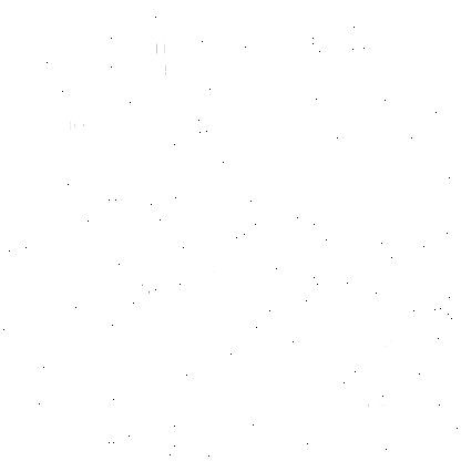 CC(C)c1ccc(CC(=O)N2CCCCc3cc(C(O)(C(C)F)C(F)(F)F)ccc32)cc1